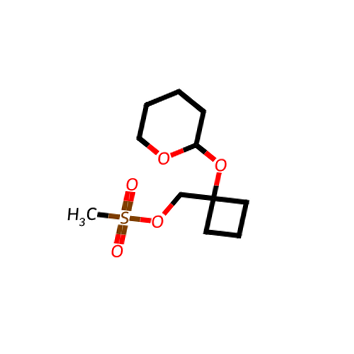 CS(=O)(=O)OCC1(OC2CCCCO2)CCC1